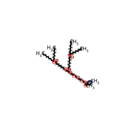 CCCCCCCCC(CCCCCCCC)OC(=O)CCCCCCCOCC(COCCOCCOCCOCCOC(=O)C1(C)CCN(C)CC1)OCCCCCCCC(=O)OC(CCCCCCCC)CCCCCCCC